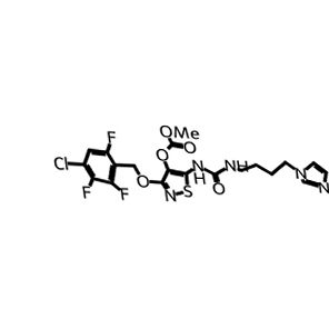 COC(=O)Oc1c(OCc2c(F)cc(Cl)c(F)c2F)nsc1NC(=O)NCCCCn1ccnc1